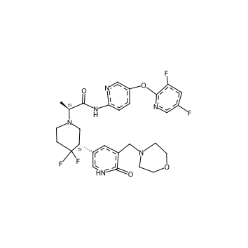 C[C@@H](C(=O)Nc1ccc(Oc2ncc(F)cc2F)cn1)N1CCC(F)(F)[C@@H](c2c[nH]c(=O)c(CN3CCOCC3)c2)C1